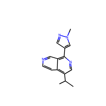 CC(C)c1cnc(-c2cnn(C)c2)c2cnccc12